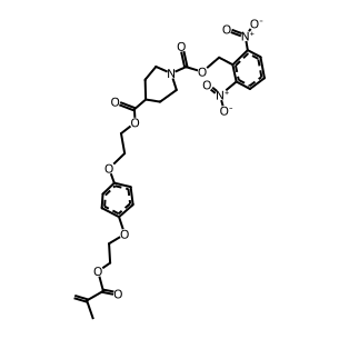 C=C(C)C(=O)OCCOc1ccc(OCCOC(=O)C2CCN(C(=O)OCc3c([N+](=O)[O-])cccc3[N+](=O)[O-])CC2)cc1